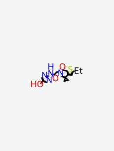 CCc1cc2c(s1)C(=O)N(CC(=O)Nc1ncc(O)cn1)CC21CC1